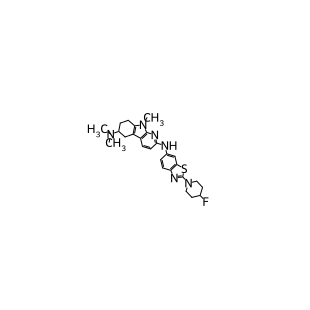 CN(C)C1CCc2c(c3ccc(Nc4ccc5nc(N6CCC(F)CC6)sc5c4)nc3n2C)C1